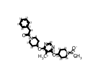 Cc1c(OC2CCN(C(=O)Cc3ccccc3)CC2)ncnc1OC1CCN([S+](C)[O-])CC1